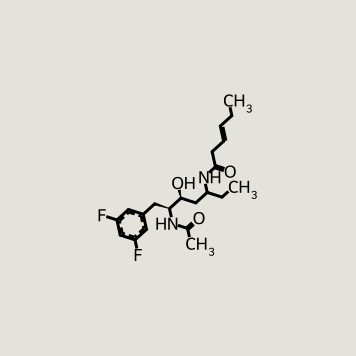 CCC=CCC(=O)NC(CC)C[C@H](O)[C@H](Cc1cc(F)cc(F)c1)NC(C)=O